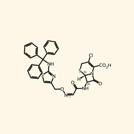 O=C(/C=N\OCc1csc(NC(c2ccccc2)(c2ccccc2)c2ccccc2)n1)N[C@@H]1C(=O)N2C(C(=O)O)=C(Cl)CS[C@@H]12